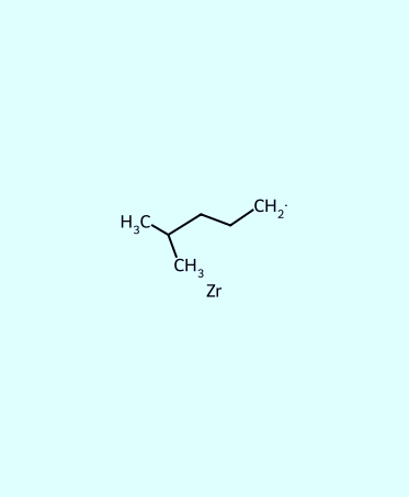 [CH2]CCC(C)C.[Zr]